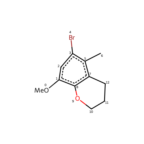 COc1cc(Br)c(C)c2c1OCCC2